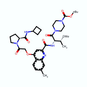 CCCCOC(=O)N1CCN(C(=O)[C@@H](NC(=O)c2cc(OCC(=O)N3CCC[C@H]3C(=O)NC3CCC3)c3ccc(C)cc3n2)[C@@H](C)OC)CC1